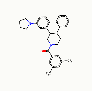 O=C(c1cc(C(F)(F)F)cc(C(F)(F)F)c1)N1CCC(c2ccccc2)C(c2cccc(N3CCCC3)c2)C1